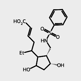 CCC(CC=CC(=O)O)C1C(O)C[C@@H](O)[C@H]1CNS(=O)(=O)c1ccccc1